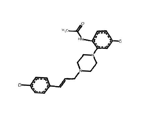 CC(=O)Nc1ccc(Cl)cc1N1CCN(C/C=C/c2ccc(Cl)cc2)CC1